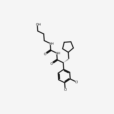 O=C(NCCCO)NC(=O)[C@H](CC1CCCC1)c1ccc(Cl)c(Cl)c1